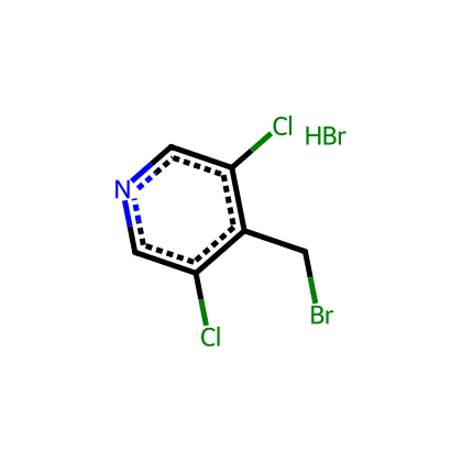 Br.Clc1cncc(Cl)c1CBr